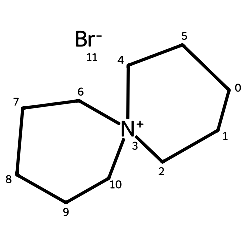 C1CC[N+]2(CC1)CCCCC2.[Br-]